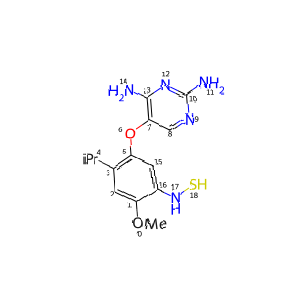 COc1cc(C(C)C)c(Oc2cnc(N)nc2N)cc1NS